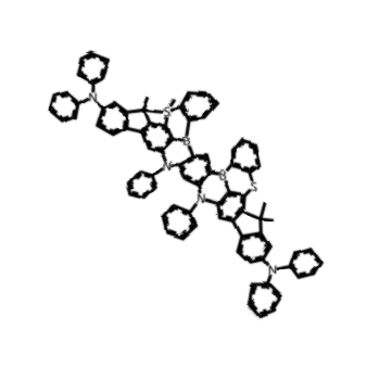 CC1(C)c2cc(N(c3ccccc3)c3ccccc3)ccc2-c2cc3c4c(c21)Sc1ccccc1B4c1cc2c(cc1N3c1ccccc1)N(c1ccccc1)c1cc3c4c5c1B2c1ccccc1S5(C)C4(C)c1cc(N(c2ccccc2)c2ccccc2)ccc1-3